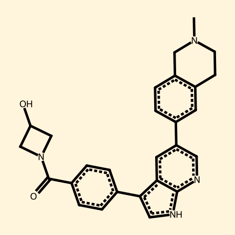 CN1CCc2cc(-c3cnc4[nH]cc(-c5ccc(C(=O)N6CC(O)C6)cc5)c4c3)ccc2C1